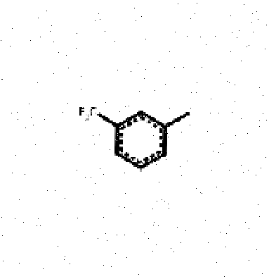 Cc1c[c]cc(C(F)(F)F)c1